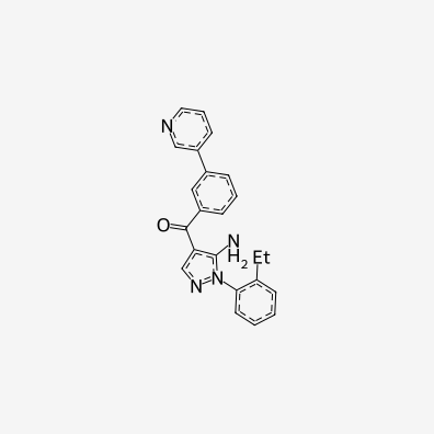 CCc1ccccc1-n1ncc(C(=O)c2cccc(-c3cccnc3)c2)c1N